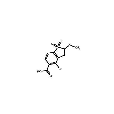 CSC1Cc2c(ccc(C(=O)O)c2Br)S1(=O)=O